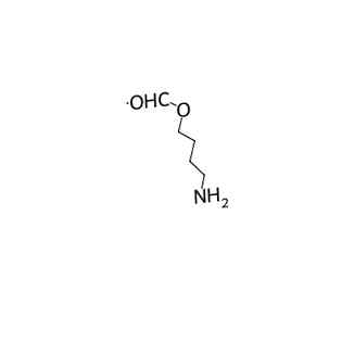 NCCCCO[C]=O